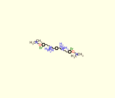 CN(C)CCOc1ccc(CCCN(N)/C=C(\N)c2ccc(/C(N)=C/N(N)CCCc3ccc(OCCN(C)C)c(Br)c3)cc2)cc1Br